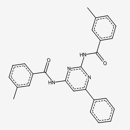 Cc1cccc(C(=O)Nc2cc(-c3ccccc3)nc(NC(=O)c3cccc(C)c3)n2)c1